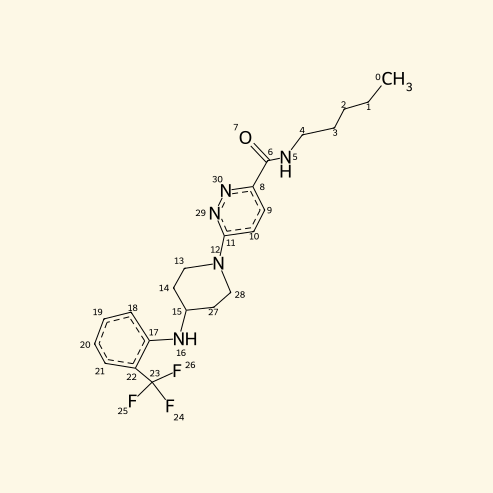 CCCCCNC(=O)c1ccc(N2CCC(Nc3ccccc3C(F)(F)F)CC2)nn1